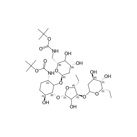 CC[C@@H]1OC(O[C@H]2C(O)[C@H](O[C@H]3C(O[C@@H]4C[C@@H](O)C(O)[C@@H](CNC(=O)OC(C)(C)C)O4)[C@@H](NC(=O)OC(C)(C)C)CC[C@@H]3O)O[C@@H]2CC)C[C@@H](O)[C@@H]1O